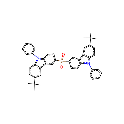 CC(C)(C)c1ccc2c(c1)c1cc(S(=O)(=O)c3ccc4c(c3)c3cc(C(C)(C)C)ccc3n4-c3ccccc3)ccc1n2-c1ccccc1